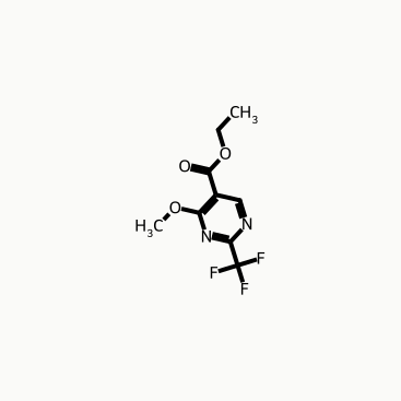 CCOC(=O)c1cnc(C(F)(F)F)nc1OC